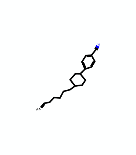 C=CCCCCCC1CCC(c2ccc(C#N)cc2)CC1